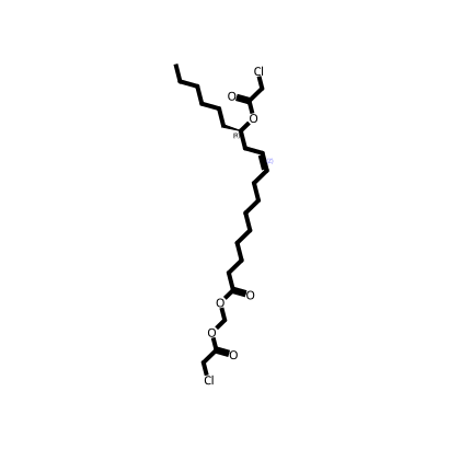 CCCCCC[C@H](C/C=C\CCCCCCCC(=O)OCOC(=O)CCl)OC(=O)CCl